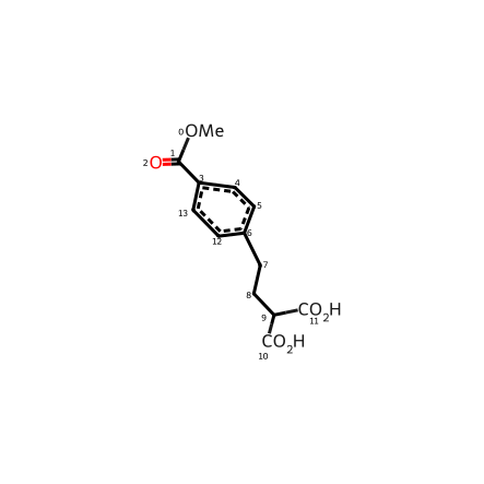 COC(=O)c1ccc(CCC(C(=O)O)C(=O)O)cc1